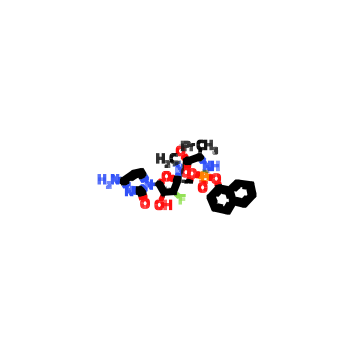 C=N[C@]1(COP(=O)(N[C@@H](C)C(=O)OC(C)C)Oc2cccc3ccccc23)O[C@@H](n2ccc(N)nc2=O)[C@H](O)[C@@H]1F